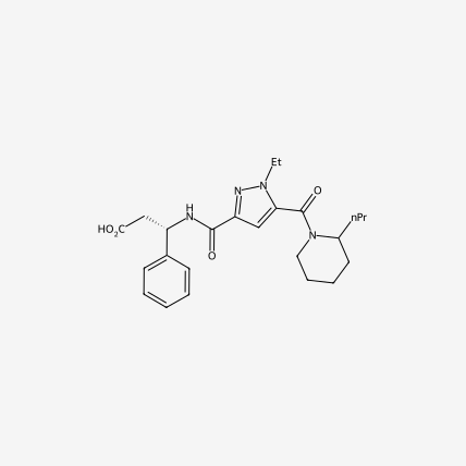 CCCC1CCCCN1C(=O)c1cc(C(=O)N[C@@H](CC(=O)O)c2ccccc2)nn1CC